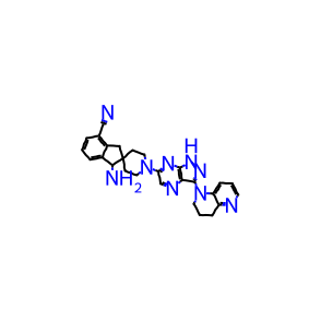 N#Cc1cccc2c1CC1(CCN(c3cnc4c(N5CCCc6ncccc65)n[nH]c4n3)CC1)C2N